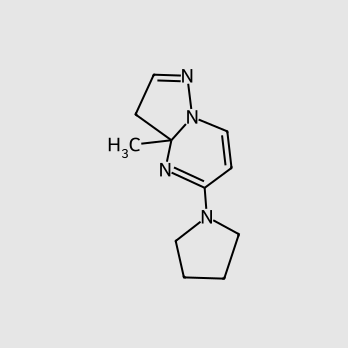 CC12CC=NN1C=CC(N1CCCC1)=N2